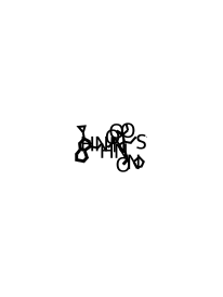 COC(=O)C(CCSC)N(NCC(=O)N1CCCC1)C(=O)CNCc1cc(C2CC2)cc2ccccc12